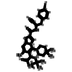 Cc1cc2nc(C(=O)NC(C#N)Cc3ccc(F)cc3)cn2c(N2CCC(C)(C)CC2)c1C(OC(C)(C)C)C(=O)O